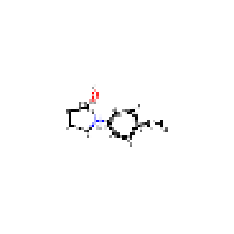 Cc1ccc(N2CCC[13C]2=O)cc1